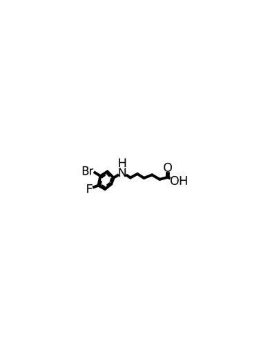 O=C(O)CCCCCNc1ccc(F)c(Br)c1